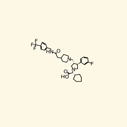 O=C(CC1CCN(C[C@H]2CN([C@@H](C(=O)O)C3CCCCC3)C[C@@H]2c2cccc(F)c2)CC1)NCc1ccc(C(F)(F)F)cc1